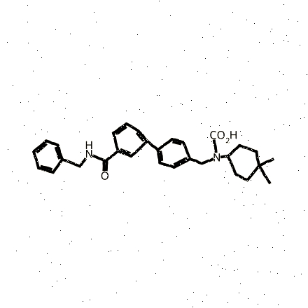 CC1(C)CCC(N(Cc2ccc(-c3cccc(C(=O)NCc4ccccc4)c3)cc2)C(=O)O)CC1